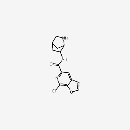 O=C(NC1CC2CNC1C2)c1cc2ccoc2c(Cl)n1